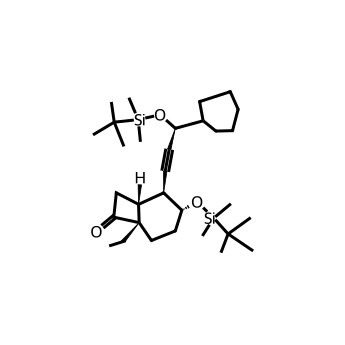 CC[C@]12CC[C@@H](O[Si](C)(C)C(C)(C)C)[C@H](C#C[C@@H](O[Si](C)(C)C(C)(C)C)C3CCCCC3)[C@H]1CC2=O